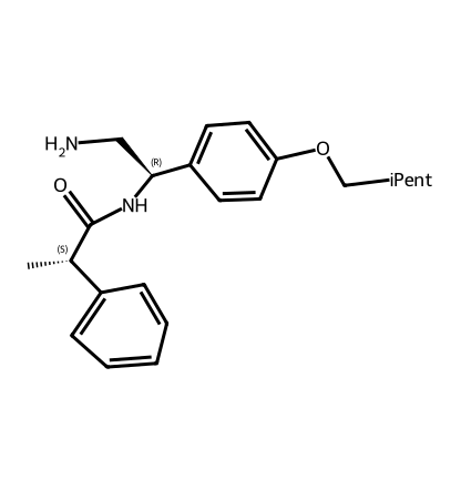 CCCC(C)COc1ccc([C@H](CN)NC(=O)[C@@H](C)c2ccccc2)cc1